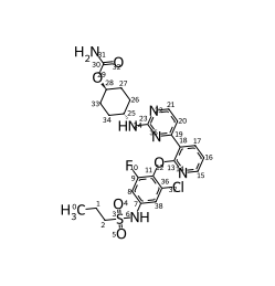 CCCS(=O)(=O)Nc1cc(F)c(Oc2ncccc2-c2ccnc(N[C@H]3CC[C@H](OC(N)=O)CC3)n2)c(Cl)c1